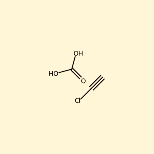 C#CCl.O=C(O)O